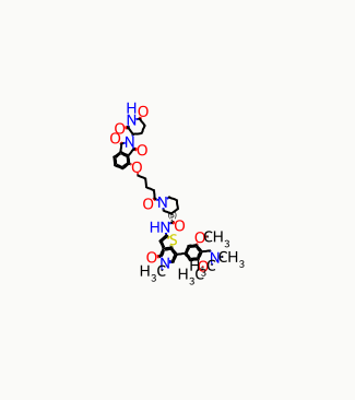 COc1cc(-c2cn(C)c(=O)c3cc(NC(=O)[C@H]4CCCN(C(=O)CCCCOc5cccc6c5C(=O)N(C5CCC(=O)NC5=O)C6=O)C4)sc23)cc(OC)c1CN(C)C